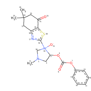 CN1CC(OC(=O)Oc2ccccc2)[N+]([O-])(c2nc3c(s2)C(=O)CC(C)(C)C3)C1